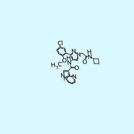 COc1ccc(Cl)cc1-c1nn(CC(=O)NC2CCC2)cc1NC(=O)c1cnn2cccnc12